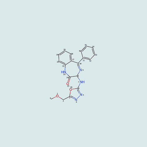 COCc1nnc(NC2N=C(c3ccccc3)c3ccccc3NC2=O)o1